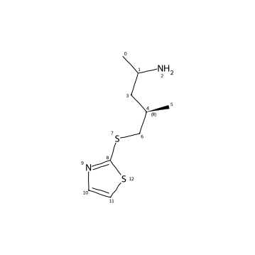 CC(N)C[C@@H](C)CSc1nccs1